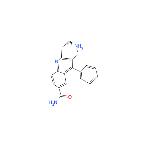 CC(C)Cc1nc2ccc(C(N)=O)cc2c(-c2ccccc2)c1CN